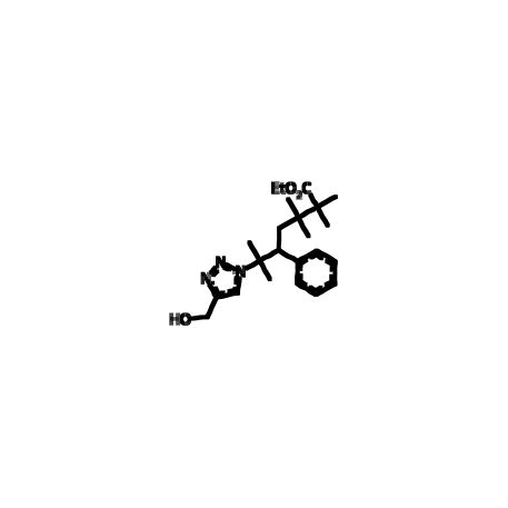 CCOC(=O)C(C)(C)C(C)(C)CC(c1ccccc1)C(C)(C)n1cc(CO)nn1